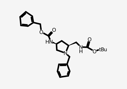 CC(C)(C)OC(=O)NC[C@@H]1C[C@H](NC(=O)OCc2ccccc2)CN1Cc1ccccc1